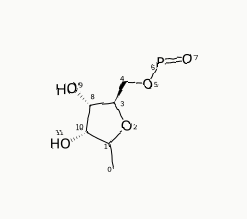 CC1O[C@H](COP=O)[C@@H](O)[C@H]1O